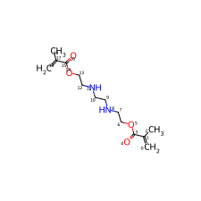 C=C(C)C(=O)OCCNCCNCCOC(=O)C(=C)C